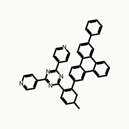 CC1C=CC(c2nc(-c3ccncc3)nc(-c3ccncc3)n2)=C(c2ccc3c4ccc(-c5ccccc5)cc4c4ccccc4c3c2)C1